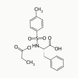 CCC(=O)Cl.Cc1ccc(S(=O)(=O)N[C@@H](Cc2ccccc2)C(=O)O)cc1